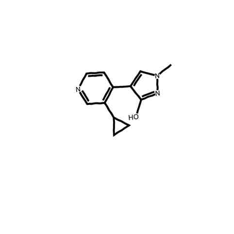 Cn1cc(-c2ccncc2C2CC2)c(O)n1